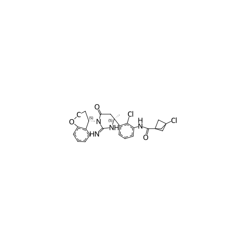 C[C@@]1(c2cccc(NC(=O)C34CC(Cl)(C3)C4)c2Cl)CC(=O)N([C@H]2CCOc3ccccc32)C(=N)N1